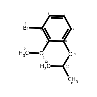 COc1c(Br)cccc1OC(C)C